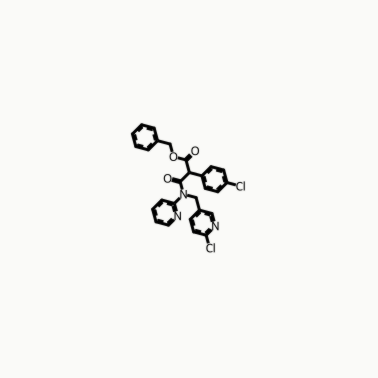 O=C(OCc1ccccc1)C(C(=O)N(Cc1ccc(Cl)nc1)c1ccccn1)c1ccc(Cl)cc1